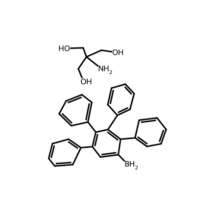 Bc1cc(-c2ccccc2)c(-c2ccccc2)c(-c2ccccc2)c1-c1ccccc1.NC(CO)(CO)CO